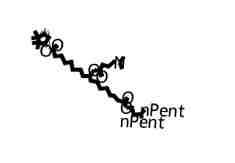 CCCCCC(CCCCC)CCOC(=O)CCCCCCCC(CCCCCCCC(=O)O[C@H]1C[C@@H](C)C(C)(C)C1(C)C)OC(=O)CCCN(C)C